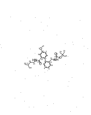 COc1ccc(-c2ccccc2CNC(=O)OC(C)(C)C)c(C(=O)NCCC(C)C)c1